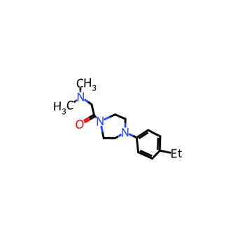 CCc1ccc(N2CCN(C(=O)CN(C)C)CC2)cc1